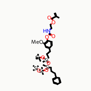 C=C(C)C(=O)OCCNC(=O)Oc1ccc(CCC[Si](C)(O[Si](C)(C)C)O[Si](C)(CCCc2ccccc2)O[Si](C)(C)O[Si](C)(C)C)cc1OC